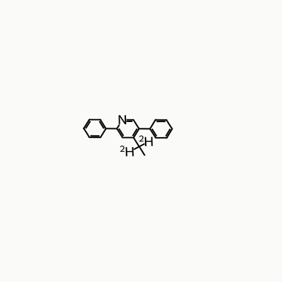 [2H]C([2H])(C)c1cc(-c2ccccc2)ncc1-c1ccccc1